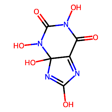 O=C1C2=NC(O)=NC2(O)N(O)C(=O)N1O